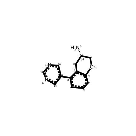 N[C@@H]1COc2cccc(-c3cncnc3)c2C1